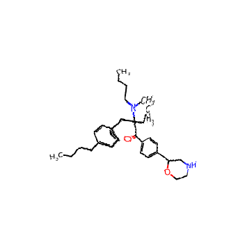 CCCCc1ccc(CC(CC)(C(=O)c2ccc(C3CNCCO3)cc2)N(C)CCCC)cc1